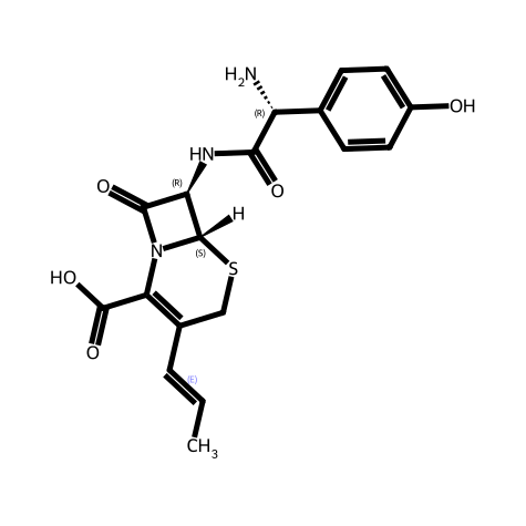 C/C=C/C1=C(C(=O)O)N2C(=O)[C@@H](NC(=O)[C@H](N)c3ccc(O)cc3)[C@@H]2SC1